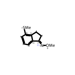 CO/N=C1\CCc2c(SC)cccc21